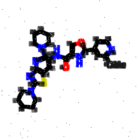 COc1cc(C2NC(C(=O)Nc3cc4sc(N5CCCCC5)nc4nc3N3CCCCC3)=CO2)ccn1